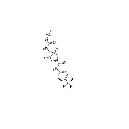 CC(C)(C)OC(=O)N[C@H]1[C@@H]2CN(C(=O)Nc3ccc(C(F)(F)F)cc3)C[C@@H]21